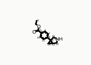 CCOC(=O)c1ccc(C23CNCC2C3)cc1